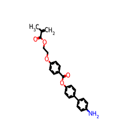 C=C(C)C(=O)OCCOc1ccc(C(=O)Oc2ccc(-c3ccc(N)cc3)cc2)cc1